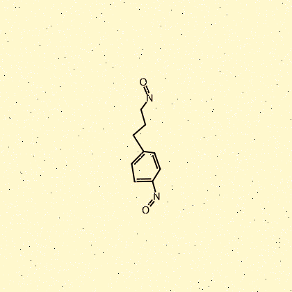 O=NCCCc1ccc(N=O)cc1